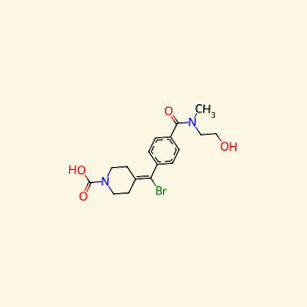 CN(CCO)C(=O)c1ccc(C(Br)=C2CCN(C(=O)O)CC2)cc1